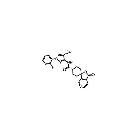 O=C1O[C@]2(CC[C@@H](C(=O)Nc3nn(-c4ccccc4F)cc3O)CC2)c2cnccc21